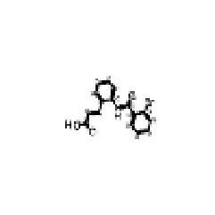 O=C(O)C=Cc1ccccc1NC(=O)c1ccccc1Br